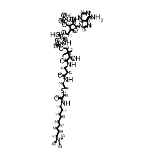 CC(C)(COP(=O)(O)OP(=O)(O)OCC1OC(n2cnc3c(N)ncnc32)C(O)C1OP(=O)(O)O)C(O)C(=O)NCCC(=O)NCCSCC(=O)NCCCCCCCCC[N+](C)(C)C